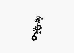 CS(=O)(=O)OC[C@@H]1CC[C@@H]2CN1C(=O)N2OCc1ccccc1